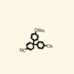 COc1ccc(C2(c3ccc(C#N)cc3)C=CC(C#N)=CC2)cc1